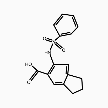 O=C(O)c1cc2c(cc1NS(=O)(=O)c1ccccc1)CCC2